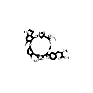 CC(Cc1cccc(C2(C)CCCOC(C)(C)c3cn(nn3)Cc3c(c(F)cc4[nH]ccc34)Oc3ccc(F)c(c3)-c3nc2nn3C)c1)C(=O)O